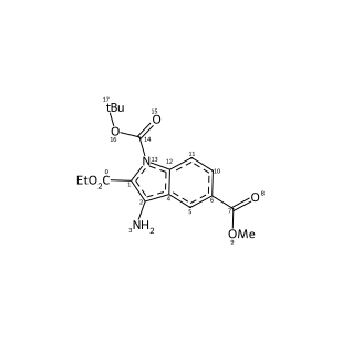 CCOC(=O)c1c(N)c2cc(C(=O)OC)ccc2n1C(=O)OC(C)(C)C